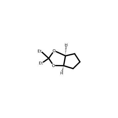 CCC1(CC)O[C@H]2CCC[C@H]2O1